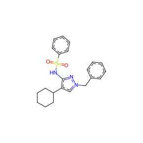 O=S(=O)(Nc1nn(Cc2ccccc2)cc1C1CCCCC1)c1ccccc1